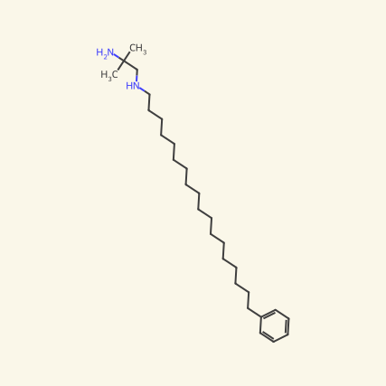 CC(C)(N)CNCCCCCCCCCCCCCCCCCCc1ccccc1